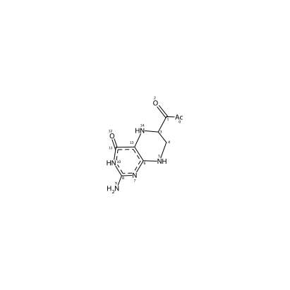 CC(=O)C(=O)C1CNc2nc(N)[nH]c(=O)c2N1